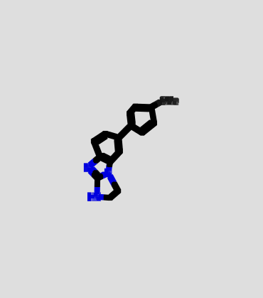 CSc1ccc(-c2ccc3nc4n(c3c2)CCN4)cc1